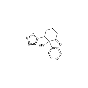 CCCC1(c2ccccc2)C(=O)CCCC1c1cnno1